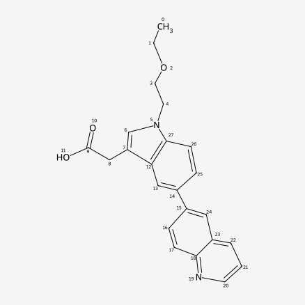 CCOCCn1cc(CC(=O)O)c2cc(-c3ccc4ncccc4c3)ccc21